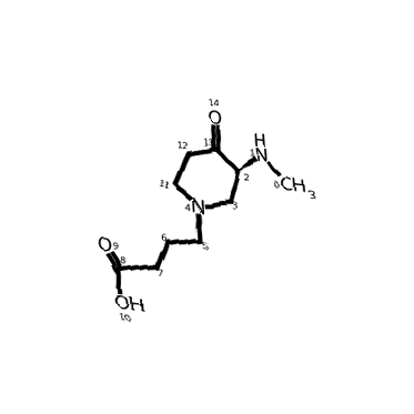 CN[C@H]1CN(CCCC(=O)O)CCC1=O